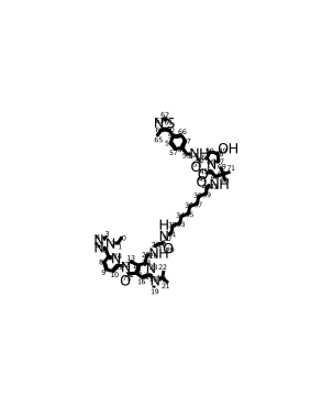 CCn1cnnc1-c1cccc(N2Cc3c(cc(N(C)C(C)C)nc3CNCC(=O)NCCCCCCCCCC(=O)N[C@H](C(=O)N3C[C@H](O)C[C@H]3C(=O)NCc3ccc(-c4scnc4C)cc3)C(C)(C)C)C2=O)n1